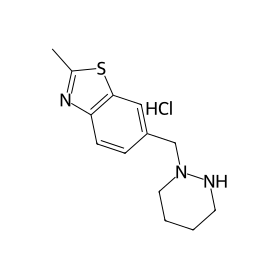 Cc1nc2ccc(CN3CCCCN3)cc2s1.Cl